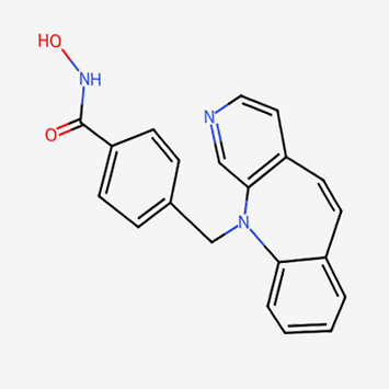 O=C(NO)c1ccc(CN2c3ccccc3C=Cc3ccncc32)cc1